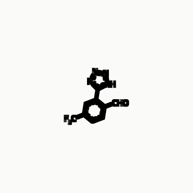 O=Cc1ccc(C(F)(F)F)cc1-c1nnn[nH]1